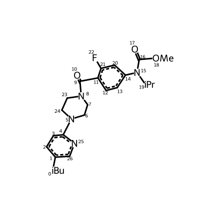 CCC(C)c1ccc(N2CCN(C(=O)c3ccc(N(C(=O)OC)C(C)C)cc3F)CC2)nc1